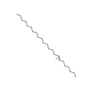 CCCCCC/C=C/CCCCCCCCCCCCCCC